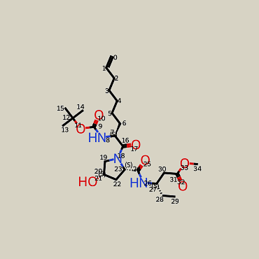 C=CCCCCC[C@H](NC(=O)OC(C)(C)C)C(=O)N1C[C@@H](O)C[C@H]1C(=O)N[C@@H](CC)CC(=O)OC